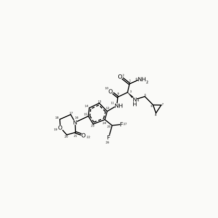 NC(=O)[C@@H](NCC1CC1)C(=O)Nc1ccc(N2CCOCC2=O)cc1C(F)F